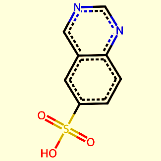 O=S(=O)(O)c1ccc2ncncc2c1